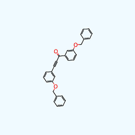 O=C(C#Cc1cccc(OCc2ccccc2)c1)c1cccc(OCc2ccccc2)c1